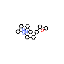 c1ccc(-c2ccccc2-c2nc(-c3cccc(-c4cccc(-c5ccc(-c6cccc7c6oc6ccccc67)cc5)c4)c3)nc(-c3ccccc3-c3ccccc3)n2)cc1